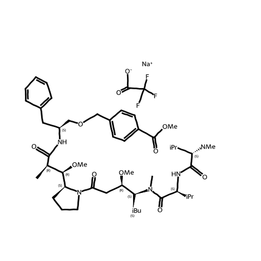 CC[C@H](C)[C@@H]([C@@H](CC(=O)N1CCC[C@H]1[C@H](OC)[C@@H](C)C(=O)N[C@H](COCc1ccc(C(=O)OC)cc1)Cc1ccccc1)OC)N(C)C(=O)[C@@H](NC(=O)[C@@H](NC)C(C)C)C(C)C.O=C([O-])C(F)(F)F.[Na+]